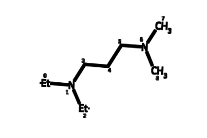 [CH2][CH]N([CH][CH2])CCCN(C)C